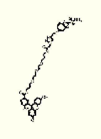 NS(=O)(=O)c1nc2ccc(OCc3cn(CC(=O)NCCCOCCOCCOCCCNC(=O)c4ccc(C(=O)O)c(-c5c6ccc(=O)cc-6oc6cc(O)ccc56)c4)nn3)cc2s1